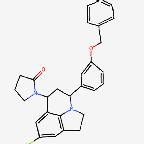 O=C1CCCN1C1CC(c2cccc(OCc3ccccc3)c2)N2CCc3cc(F)cc1c32